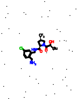 CC(C)(C)[C@H](O)C(=O)N1C[C@@H](C(F)(F)F)C[C@H]1C(=O)NCc1cc(Cl)ccc1CN